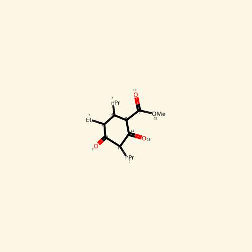 CCCC1C(=O)C(CC)C(CCC)C(C(=O)OC)C1=O